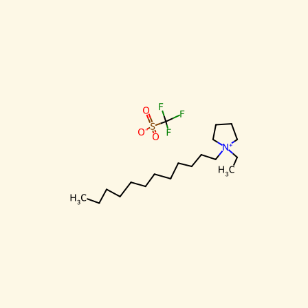 CCCCCCCCCCCC[N+]1(CC)CCCC1.O=S(=O)([O-])C(F)(F)F